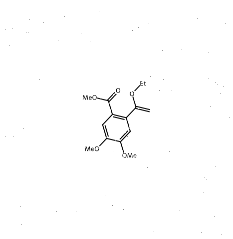 C=C(OCC)c1cc(OC)c(OC)cc1C(=O)OC